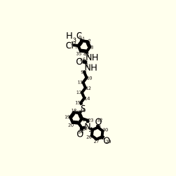 Cc1ccc(NC(=O)NCCCCCCCSc2cccc3c2CN(C2CCC(=O)CC2=O)C3=O)cc1Cl